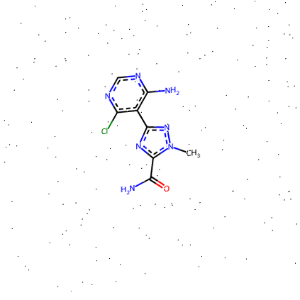 Cn1nc(-c2c(N)ncnc2Cl)nc1C(N)=O